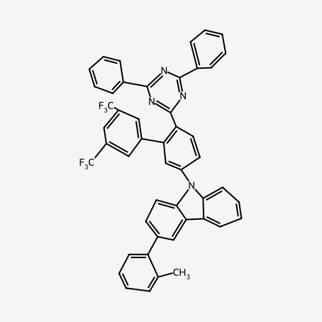 Cc1ccccc1-c1ccc2c(c1)c1ccccc1n2-c1ccc(-c2nc(-c3ccccc3)nc(-c3ccccc3)n2)c(-c2cc(C(F)(F)F)cc(C(F)(F)F)c2)c1